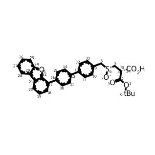 CC(C)(C)OC(=O)[C@H](C[S+]([O-])Cc1ccc(-c2ccc(-c3cccc4c3oc3ccccc34)cc2)cc1)C(=O)O